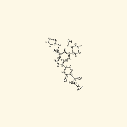 O=C(NC1CC1)c1ccc(-c2cnc3c(NCC4CCCO4)nc(-c4ccccc4CO)cn23)cc1Cl